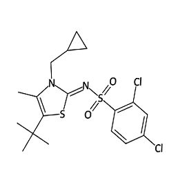 Cc1c(C(C)(C)C)s/c(=N\S(=O)(=O)c2ccc(Cl)cc2Cl)n1CC1CC1